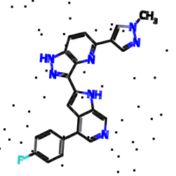 Cn1cc(-c2ccc3[nH]nc(-c4cc5c(-c6ccc(F)cc6)cncc5[nH]4)c3n2)cn1